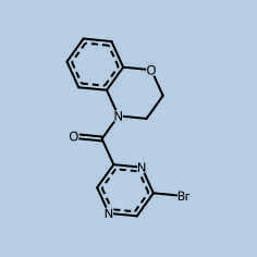 O=C(c1cncc(Br)n1)N1CCOc2ccccc21